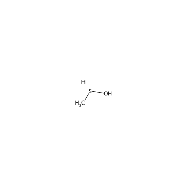 CSO.I